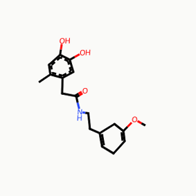 COC1=CCC=C(CCNC(=O)Cc2cc(O)c(O)cc2C)C1